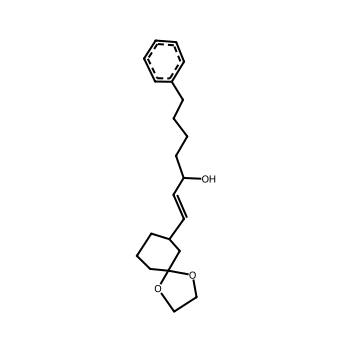 OC(/C=C/C1CCCC2(C1)OCCO2)CCCCc1ccccc1